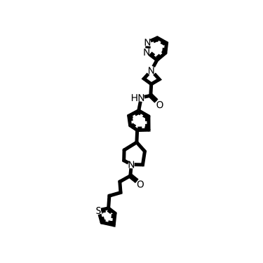 O=C(Nc1ccc(C2CCN(C(=O)CCCc3cccs3)CC2)cc1)C1CN(c2cccnn2)C1